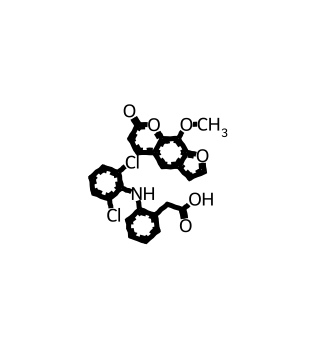 COc1c2occc2cc2ccc(=O)oc12.O=C(O)Cc1ccccc1Nc1c(Cl)cccc1Cl